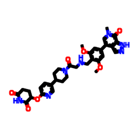 COc1cc(-c2cn(C)c(=O)c3[nH]ncc23)cc(OC)c1CNCC(=O)N1CCC(c2ccc(OC3CCC(=O)NC3=O)nc2)CC1